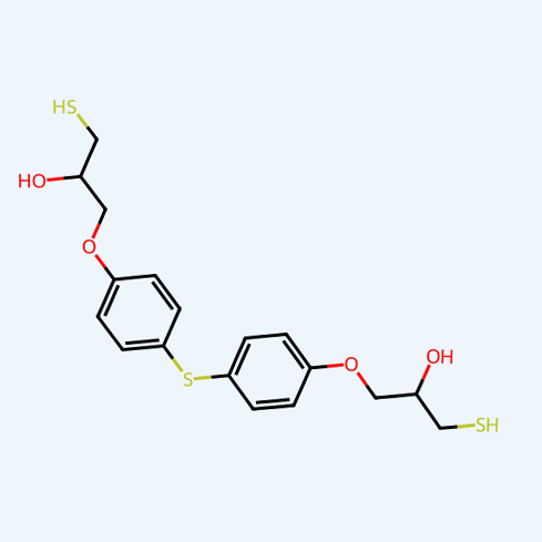 OC(CS)COc1ccc(Sc2ccc(OCC(O)CS)cc2)cc1